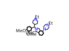 CCN1CCC(C(c2ccc(OC)c(OC)c2)N2Cc3c(cccc3N3CCN(CC)CC3)C2C=O)CC1